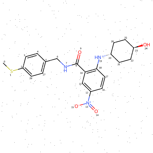 CSc1ccc(CNC(=O)c2cc([N+](=O)[O-])ccc2N[C@H]2CC[C@H](O)CC2)cc1